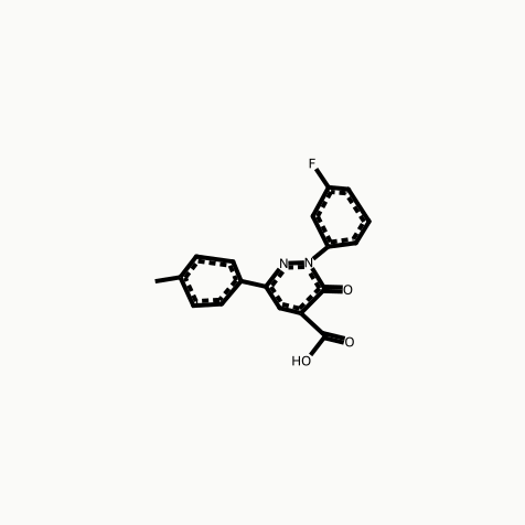 Cc1ccc(-c2cc(C(=O)O)c(=O)n(-c3cccc(F)c3)n2)cc1